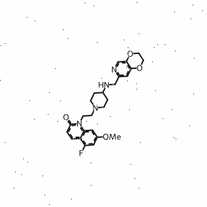 COc1cc(F)c2ccc(=O)n(CCN3CCC(NCc4cc5c(cn4)OCCO5)CC3)c2c1